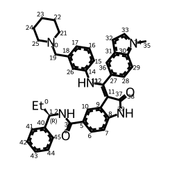 CC[C@@H](NC(=O)c1ccc2c(c1)C(=C(Nc1cccc(CN3CCCCC3)c1)c1ccc3c(ccn3C)c1)C(=O)N2)c1ccccc1